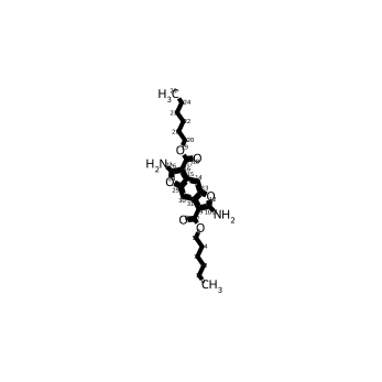 CCCCCCOC(=O)c1c(N)oc2cc3c(C(=O)OCCCCCC)c(N)oc3cc12